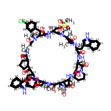 CC1[C@@H]2C(=O)N1[C@@H](Cc1c[nH]c3ccccc13)C(=O)N[C@H](C(=O)N1CCCCC1)CC(=O)N[C@@H]1C(=O)N[C@H](C(=O)N(C)[C@@H](Cc3ccccc3)C(=O)N[C@@](C)(Cc3c[nH]c4ccccc34)C(=O)C3CCC[C@H]3C(=O)N(C)CC(=O)N(C)[C@@H](Cc3ccc(Cl)cc3)C(=O)N[C@@H](CCS(C)(=O)=O)C(=O)N2C)C1C[S+]=O